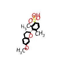 COc1ccc2c(c1)O[C@@H](c1c(C)ccc(S(=O)(=O)O)c1C)CC2